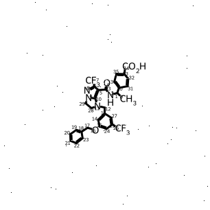 CC(NC(=O)c1c(C(F)(F)F)nn2c1N(Cc1cc(OCc3ccccc3)cc(C(F)(F)F)c1)CC2)c1ccc(C(=O)O)cc1